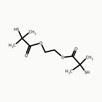 CC(C)(S)C(=O)OCCOC(=O)C(C)(C)S